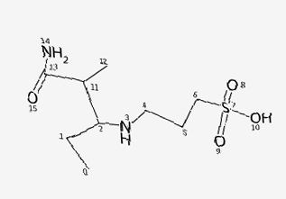 CCC(NCCCS(=O)(=O)O)C(C)C(N)=O